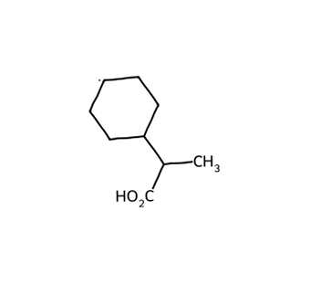 CC(C(=O)O)C1CC[CH]CC1